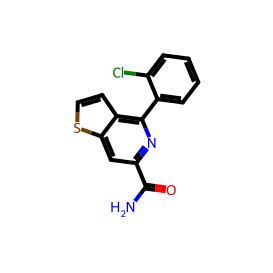 NC(=O)c1cc2sccc2c(-c2ccccc2Cl)n1